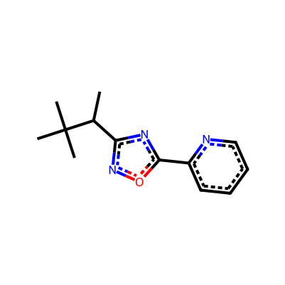 CC(c1noc(-c2ccccn2)n1)C(C)(C)C